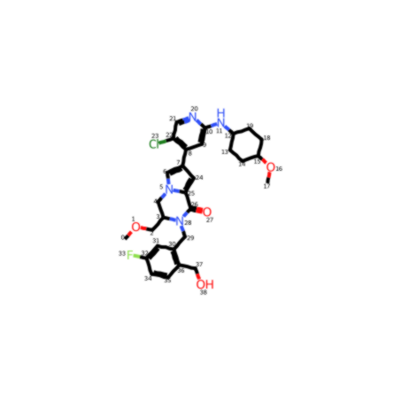 COCC1Cn2cc(-c3cc(NC4CCC(OC)CC4)ncc3Cl)cc2C(=O)N1Cc1cc(F)ccc1CO